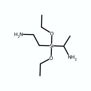 CCO[Si](CCN)(OCC)C(C)N